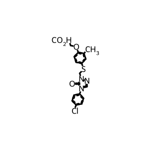 Cc1cc(SCn2ncn(-c3ccc(Cl)cc3)c2=O)ccc1OCC(=O)O